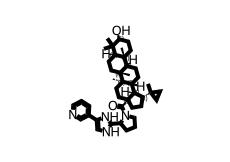 CC1([C@@H]2CC[C@]3(C(=O)N4CCCC4C4NC=C(c5cccnc5)N4)CC[C@]4(C)[C@H](CC[C@@H]5[C@@]6(C)CC[C@H](O)C(C)(C)[C@@H]6CC[C@]54C)[C@@H]23)CC1